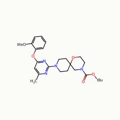 COc1ccccc1Oc1cc(C)nc(N2CCC3(CC2)CN(C(=O)OC(C)(C)C)CCO3)n1